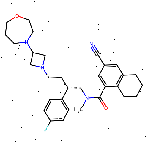 CN(C[C@@H](CCN1CC(N2CCCOCC2)C1)c1ccc(F)cc1)C(=O)c1cc(C#N)cc2c1CCCC2